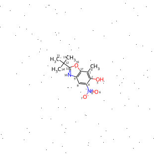 Cc1c(O)c([N+](=O)[O-])cc2nc(C(C)(C)C)oc12